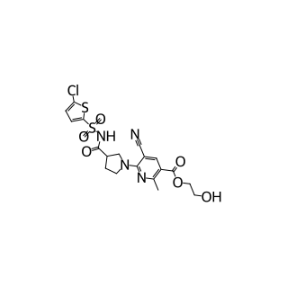 Cc1nc(N2CCC(C(=O)NS(=O)(=O)c3ccc(Cl)s3)C2)c(C#N)cc1C(=O)OCCO